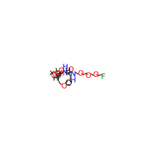 CC(C)C[C@H]1C(=O)N[C@H](C(=O)NCCOCCOCCOCCF)Cc2ccc(cc2)OCCC[C@@H]1C(=O)OC(C)(C)C